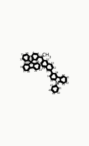 C[C@@H](c1cccc(C2(c3ccccc3)c3ccccc3-c3ccccc32)c1)c1ccc2cc(-c3ccc4c(c3)c3ccccc3n4-c3ccccc3)ccc2c1